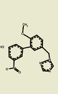 COc1ccc(Cn2cncn2)cc1-c1cccc([N+](=O)[O-])c1.Cl